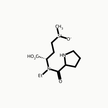 CCN(C(=O)C1CCCN1)[C@@H](CC[S+](C)[O-])C(=O)O